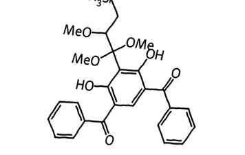 COC(C[SiH3])C(OC)(OC)c1c(O)c(C(=O)c2ccccc2)cc(C(=O)c2ccccc2)c1O